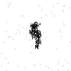 CCC(=O)NS(=O)(=O)C1(COc2nccc3cc(C(=O)NCc4ccc(C#N)cc4)c(=O)n(C)c23)CC1